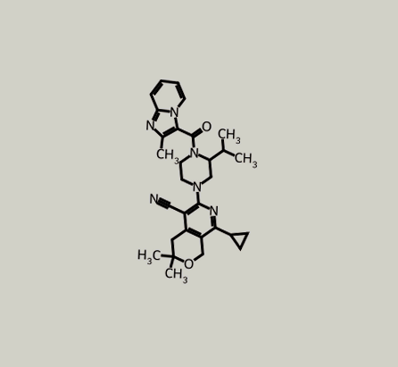 Cc1nc2ccccn2c1C(=O)N1CCN(c2nc(C3CC3)c3c(c2C#N)CC(C)(C)OC3)CC1C(C)C